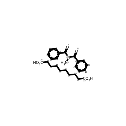 NN(C(=O)c1ccccc1)C(=O)c1ccccc1.O=C(O)CCCCCCCCC(=O)O